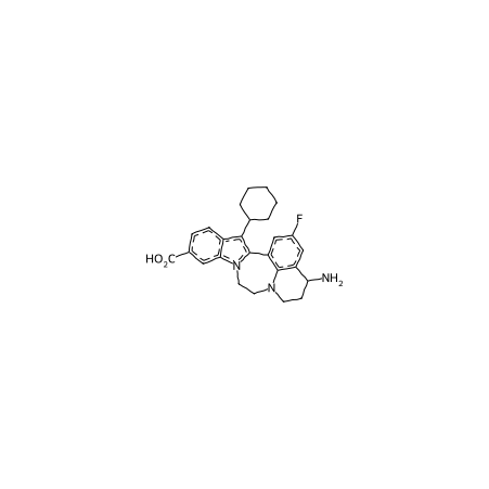 NC1CCN2CCn3c(c(C4CCCCC4)c4ccc(C(=O)O)cc43)-c3cc(F)cc1c32